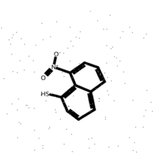 O=[N+]([O-])c1cccc2cccc(S)c12